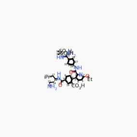 CCOc1ccc(-c2ccc(C(=O)N[C@H](CCN)CC(C)C)cc2C(=O)O)c(C(=O)Nc2ccc(C(=N)N)cc2)n1.CS(=O)(=O)O.CS(=O)(=O)O